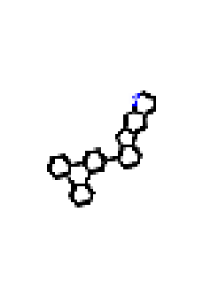 c1cc(-c2ccc3c4ccccc4c4ccccc4c3c2)c2c(c1)-c1cc3cccnc3cc1C2